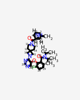 C=C1C[C@@H]2CC[C@H]1[C@@H](C(=O)N1CCC3(CC1)CN(c1ncncc1Oc1c(F)cccc1C(=O)N(C(C)C)C(C)C)C3)N2